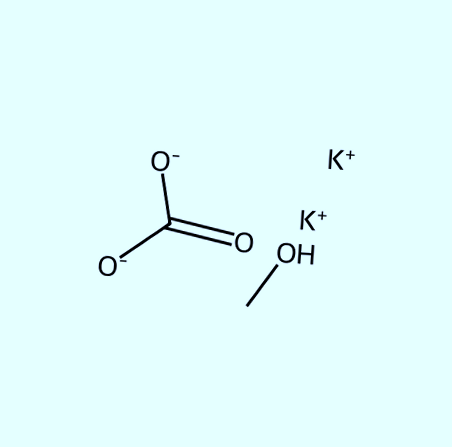 CO.O=C([O-])[O-].[K+].[K+]